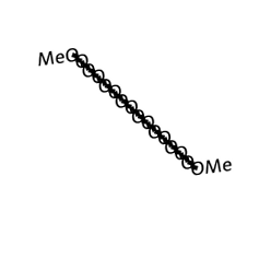 COCCOCCOCCOCCOCCOCCOCCOCCOCCOCCOCCOCCOCCOCCOCCOC